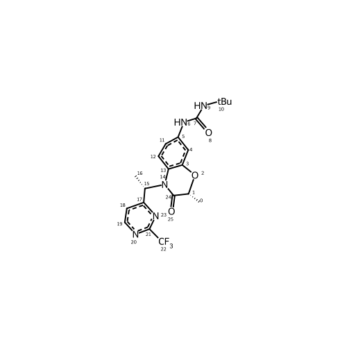 C[C@H]1Oc2cc(NC(=O)NC(C)(C)C)ccc2N([C@@H](C)c2ccnc(C(F)(F)F)n2)C1=O